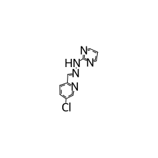 Clc1ccc(C=NNc2ncccn2)nc1